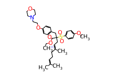 CCOC(=O)C(C/C=C(\C)CCC=C(C)C)(Cc1ccc(OCCN2CCOCC2)cc1)S(=O)(=O)c1ccc(OC)cc1